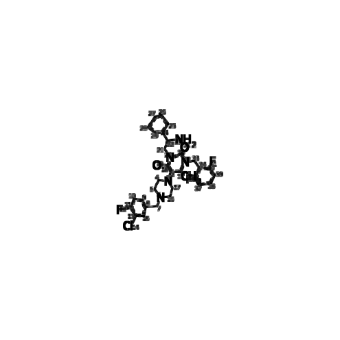 Cc1c(N2CCN(Cc3ccc(F)c(Cl)c3)CC2)c(=O)n(CC(N)c2ccccc2)c(=O)n1Cc1c(F)cccc1F